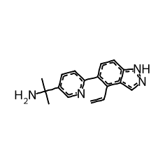 C=Cc1c(-c2ccc(C(C)(C)N)cn2)ccc2[nH]ncc12